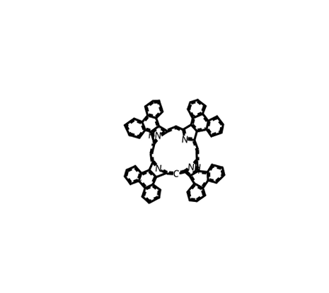 c1ccc2c(c1)c1c(c3ccccc32)-c2cc3[nH]c(cc4nc(cc5[nH]c(cc-1n2)c1c2ccccc2c2ccccc2c51)-c1c-4c2ccccc2c2ccccc12)c1c2ccccc2c2ccccc2c31